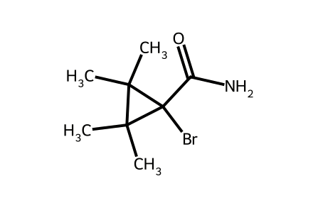 CC1(C)C(C)(C)C1(Br)C(N)=O